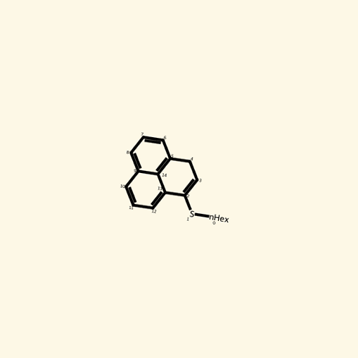 CCCCCCSC1=CCc2cccc3cccc1c23